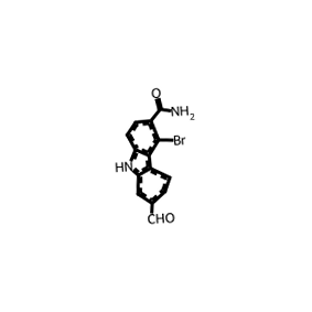 NC(=O)c1ccc2[nH]c3cc(C=O)ccc3c2c1Br